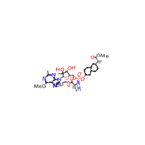 COC(=O)[C@@H](C)c1ccc2cc(OP(=O)(N[C@@H](C)C(=O)OCC(C)(C)C)OC[C@H]3OC(n4cnc5c(OC)nc(C)nc54)[C@](C)(O)[C@@H]3O)ccc2c1